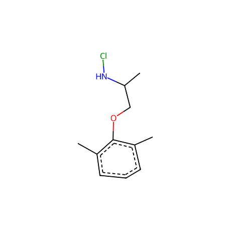 Cc1cccc(C)c1OCC(C)NCl